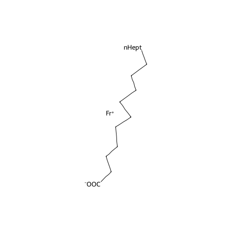 CCCCCCCCCCCCCCCCC(=O)[O-].[Fr+]